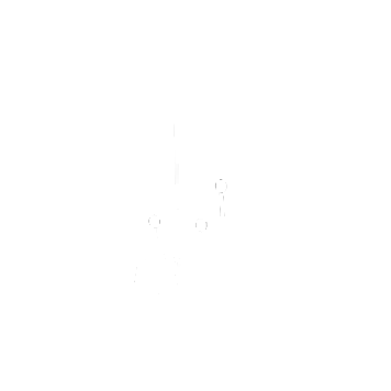 CC(=O)OC(C#CI)Oc1ccccc1